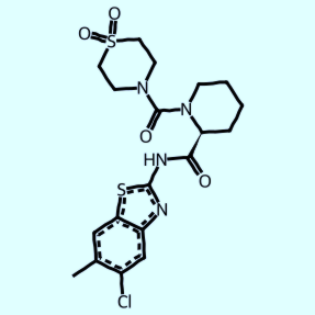 Cc1cc2sc(NC(=O)[C@@H]3CCCCN3C(=O)N3CCS(=O)(=O)CC3)nc2cc1Cl